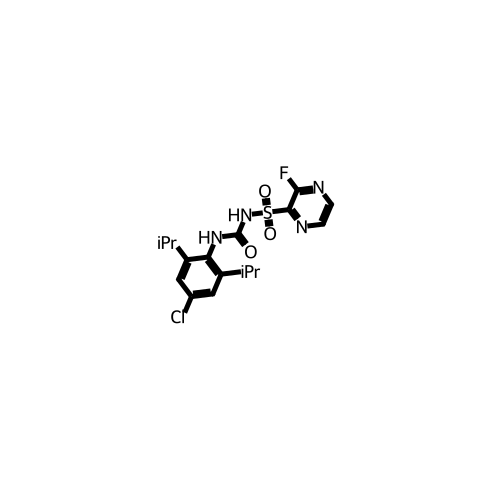 CC(C)c1cc(Cl)cc(C(C)C)c1NC(=O)NS(=O)(=O)c1nccnc1F